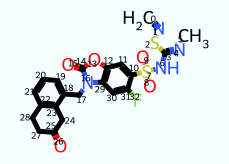 C=NS/C(=N\C)NS(=O)(=O)c1cc2oc(=O)n(Cc3cccc4c3CC(=O)CC4)c2cc1F